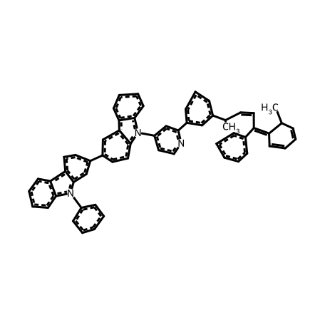 CC1C=CC=C/C1=C(/C=C\C(C)c1cccc(-c2cc(-n3c4ccccc4c4cc(-c5ccc6c7ccccc7n(-c7ccccc7)c6c5)ccc43)ccn2)c1)c1ccccc1